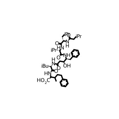 CC[C@H](C)[C@H](NC(=O)C[C@H](O)[C@H](Cc1ccccc1)NC(=O)[C@@H](NC(=O)[C@H](CC(C)C)NC(=O)CC(C)C)C(C)C)C(=O)NC(C(=O)O)C(C)CCc1ccccc1